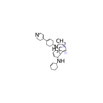 C/C1=C\C=C/C(C)N(C2CC=C(C3=CC=NCC3)CC2)C2C=CC(NC3C=CCCC3)C1C2